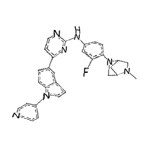 CN1CC2CC1CN2c1ccc(Nc2nccc(-c3ccc4c(ccn4-c4ccncc4)c3)n2)cc1F